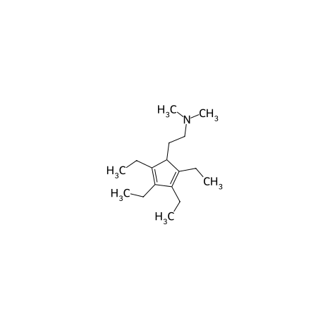 CCC1=C(CC)C(CCN(C)C)C(CC)=C1CC